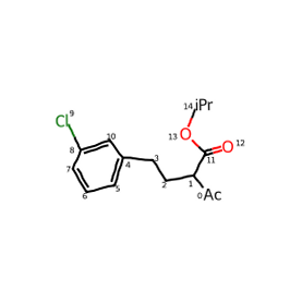 CC(=O)C(CCc1cccc(Cl)c1)C(=O)OC(C)C